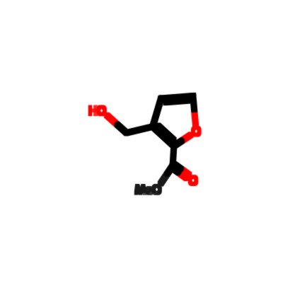 COC(=O)c1occc1CO